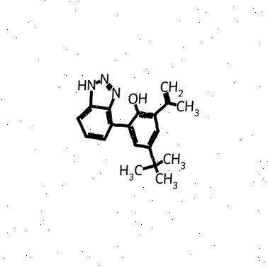 C=C(C)c1cc(C(C)(C)C)cc(-c2cccc3[nH]nnc23)c1O